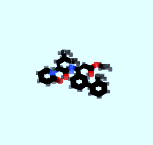 COC(=O)C[C@H](NC(=O)[C@H](CC(C)C)n1ccccc1=O)c1cccc(-c2ccccc2C)c1